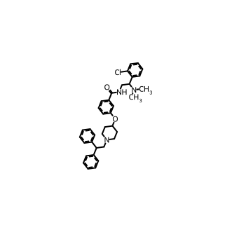 CN(C)C(CNC(=O)c1cccc(OC2CCN(CC(c3ccccc3)c3ccccc3)CC2)c1)c1ccccc1Cl